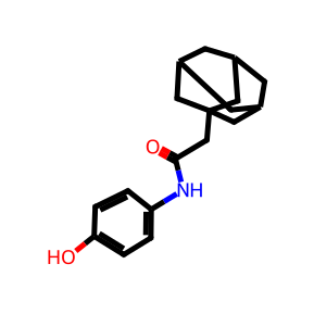 O=C(CC12CC3CC(CC(C3)C1)C2)Nc1ccc(O)cc1